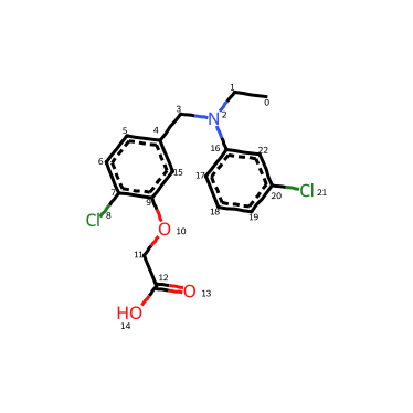 CCN(Cc1ccc(Cl)c(OCC(=O)O)c1)c1cccc(Cl)c1